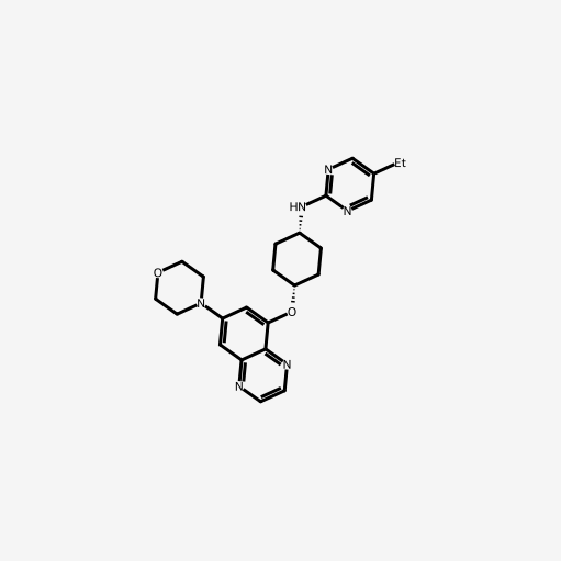 CCc1cnc(N[C@H]2CC[C@@H](Oc3cc(N4CCOCC4)cc4nccnc34)CC2)nc1